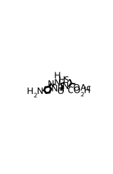 CC(=O)OCC1=C(C(=O)O)N2C(=O)C(Nc3nc4cc(N)ccc4[nH]3)[C@H]2SC1